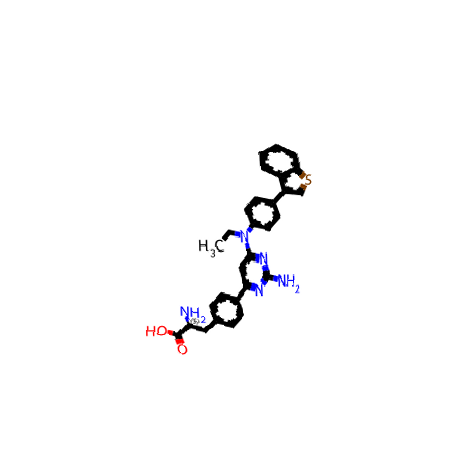 CCN(c1ccc(-c2csc3ccccc23)cc1)c1cc(-c2ccc(C[C@H](N)C(=O)O)cc2)nc(N)n1